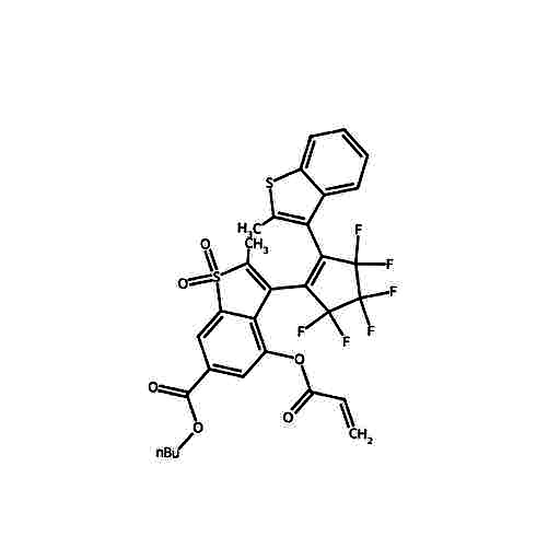 C=CC(=O)Oc1cc(C(=O)OCCCC)cc2c1C(C1=C(c3c(C)sc4ccccc34)C(F)(F)C(F)(F)C1(F)F)=C(C)S2(=O)=O